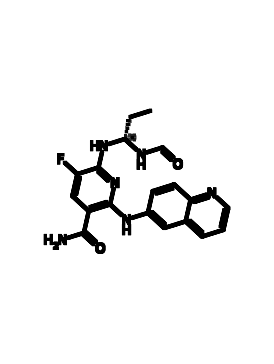 CC[C@H](NC=O)Nc1nc(Nc2ccc3ncccc3c2)c(C(N)=O)cc1F